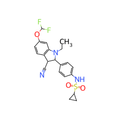 CCN1c2cc(OC(F)F)ccc2C(C#N)C1c1ccc(NS(=O)(=O)C2CC2)cc1